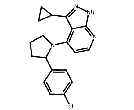 Clc1ccc(C2CCCN2c2[c]cnc3[nH]nc(C4CC4)c23)cc1